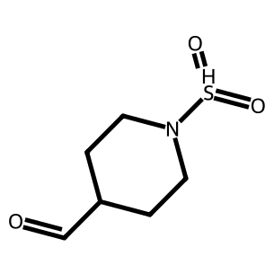 O=CC1CCN([SH](=O)=O)CC1